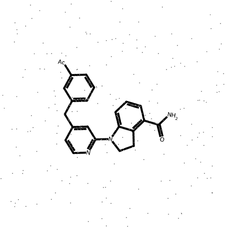 CC(=O)c1cccc(Cc2ccnc(N3CCc4c(C(N)=O)cccc43)c2)c1